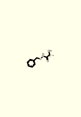 C[C@@H](O)C(=O)NOCc1ccccc1